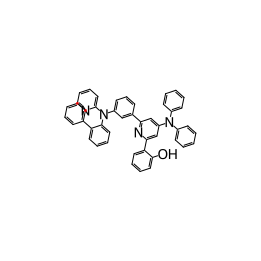 Oc1ccccc1-c1cc(N(c2ccccc2)c2ccccc2)cc(-c2cccc(N(c3ccccn3)c3ccccc3-c3ccccc3)c2)n1